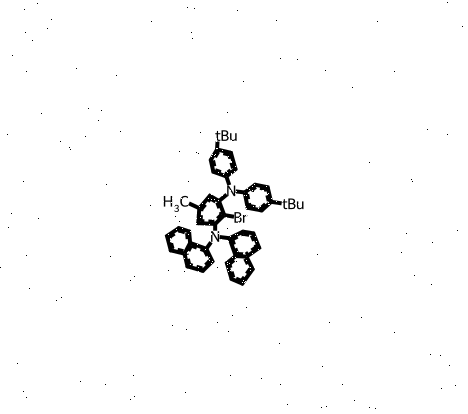 Cc1cc(N(c2ccc(C(C)(C)C)cc2)c2ccc(C(C)(C)C)cc2)c(Br)c(N(c2cccc3ccccc23)c2cccc3ccccc23)c1